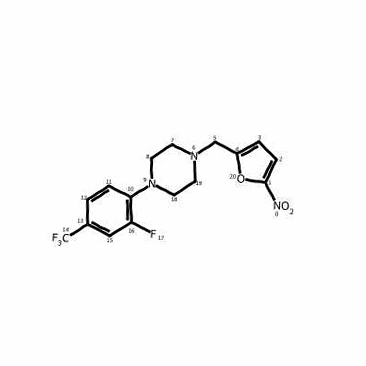 O=[N+]([O-])c1ccc(CN2CCN(c3ccc(C(F)(F)F)cc3F)CC2)o1